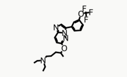 CCN(CC)CCCC(C)Oc1ccc2ncc(-c3cccc(OC(F)(F)F)c3)n2n1